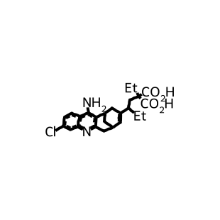 CCC(CC(CC)(C(=O)O)C(=O)O)C1=CC2Cc3nc4cc(Cl)ccc4c(N)c3C(C1)C2